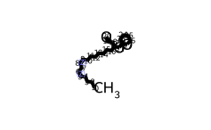 CCCCC/C=C\C/C=C\CCCCCCCC(CC=O)OC1CCCCO1